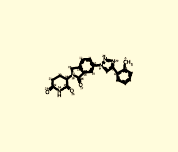 Cc1ccccc1-c1cn(-c2ccc3c(c2)C(=O)N(C2CCC(=O)NC2=O)C3)nn1